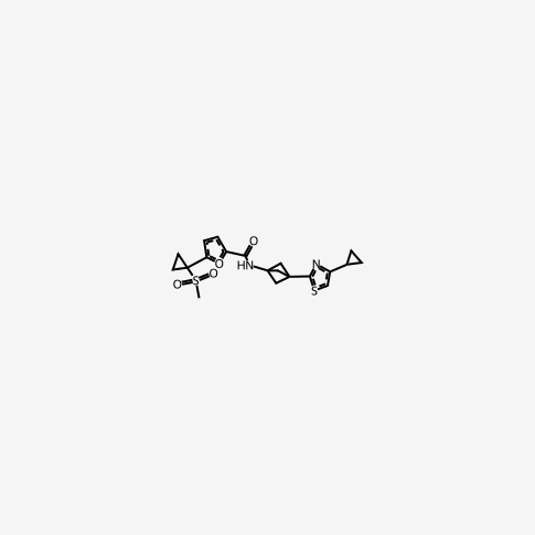 CS(=O)(=O)C1(c2ccc(C(=O)NC34CC(c5nc(C6CC6)cs5)(C3)C4)o2)CC1